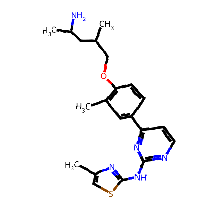 Cc1csc(Nc2nccc(-c3ccc(OCC(C)CC(C)N)c(C)c3)n2)n1